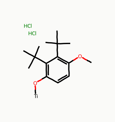 COc1ccc([O][Ti])c(C(C)(C)C)c1C(C)(C)C.Cl.Cl